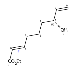 C=C[C@H](O)CCC/C=C/C(=O)OCC